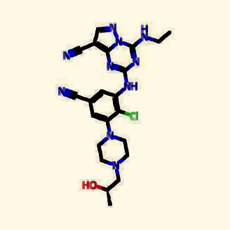 CCNc1nc(Nc2cc(C#N)cc(N3CCN(C[C@@H](C)O)CC3)c2Cl)nc2c(C#N)cnn12